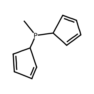 CP(C1C=CC=C1)C1C=CC=C1